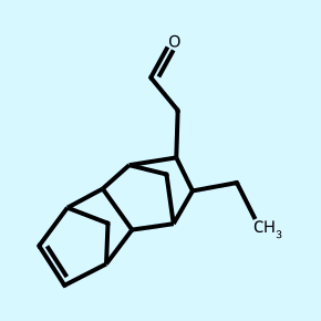 CCC1C(CC=O)C2CC1C1C3C=CC(C3)C21